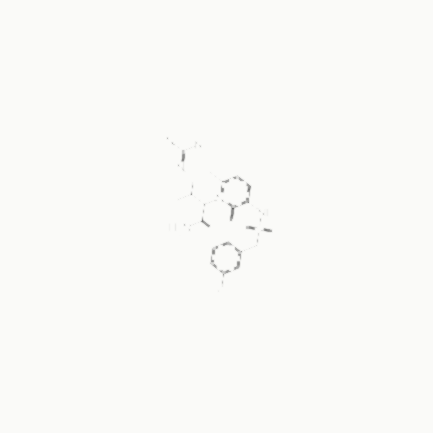 Cc1ccc(NS(=O)(=O)Cc2cccc(Cl)c2)c(=O)n1C(C(N)=O)C(C)ON=C(N)N